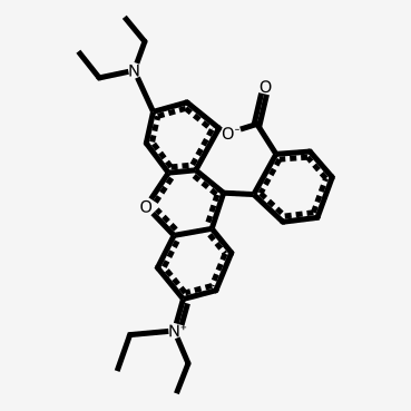 CCN(CC)c1ccc2c(-c3ccccc3C(=O)[O-])c3ccc(=[N+](CC)CC)cc-3oc2c1